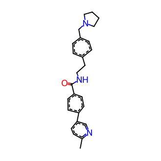 Cc1ccc(-c2ccc(C(=O)NCCc3ccc(CN4CCCC4)cc3)cc2)cn1